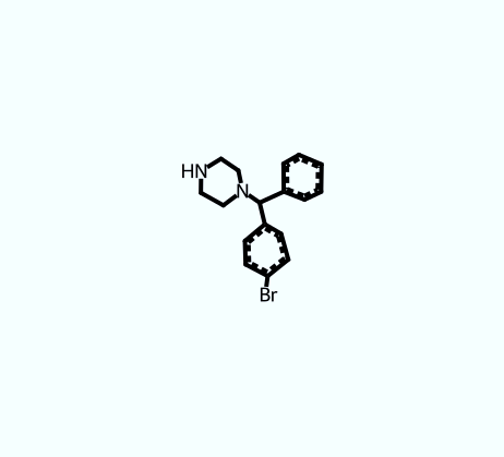 Brc1ccc(C(c2ccccc2)N2CCNCC2)cc1